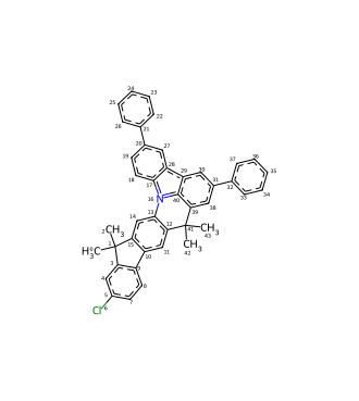 CC1(C)c2cc(Cl)ccc2-c2cc3c(cc21)-n1c2ccc(-c4ccccc4)cc2c2cc(-c4ccccc4)cc(c21)C3(C)C